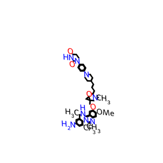 COc1cc2nc(C)nc(N[C@H](C)c3cc(N)cc(C(F)(F)F)c3)c2cc1OCC1(CN(C)C(=O)CCCC2CCN(c3ccc(N4CCC(=O)NC4=O)cc3)CC2)CC1